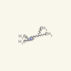 CCCCCCC(CCCCCC)CCCCC1CCN(CC(CCC)CCCC)CC1